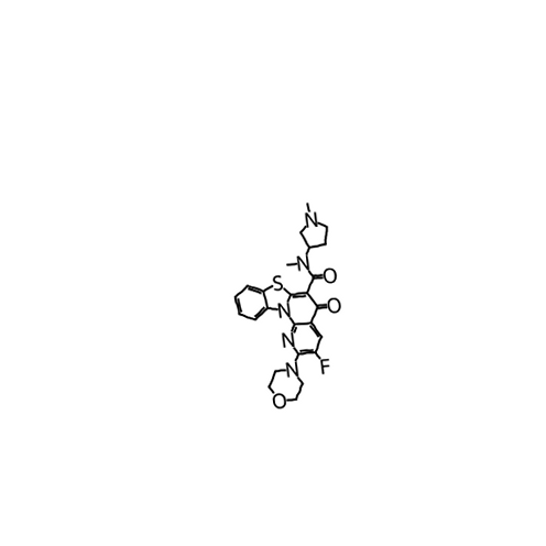 CN1CCC(N(C)C(=O)c2c(=O)c3cc(F)c(N4CCOCC4)nc3n3c2sc2ccccc23)C1